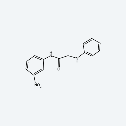 O=C(CNc1ccccc1)Nc1cccc([N+](=O)[O-])c1